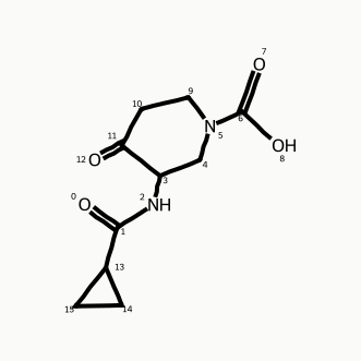 O=C(NC1CN(C(=O)O)CCC1=O)C1CC1